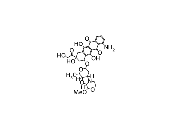 CO[C@H]1OCCN2[C@@H]1O[C@@H]1[C@H](C)OC(O[C@H]3C[C@](O)(C(=O)CO)Cc4c(O)c5c(c(O)c43)C(=O)c3c(N)cccc3C5=O)C[C@@H]12